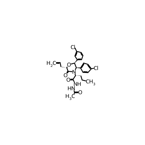 C=CC[C@@H]1O[C@@H](c2cccc(Cl)c2)[C@@H](c2ccc(Cl)cc2)N([C@H](CCC)C(=O)NNC(C)=O)C1=O